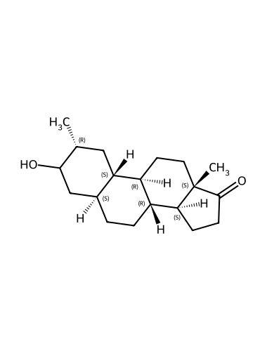 C[C@@H]1C[C@H]2[C@@H](CC[C@@H]3[C@@H]2CC[C@]2(C)C(=O)CC[C@@H]32)CC1O